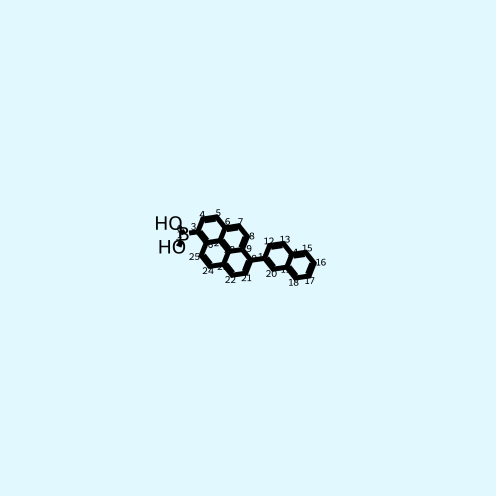 OB(O)c1ccc2ccc3c(-c4ccc5ccccc5c4)ccc4ccc1c2c43